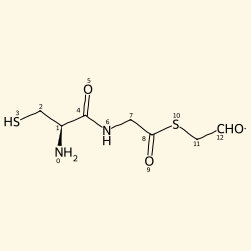 N[C@@H](CS)C(=O)NCC(=O)SC[C]=O